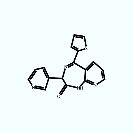 O=C1Nc2ncccc2C(c2cccs2)=NC1c1cccnc1